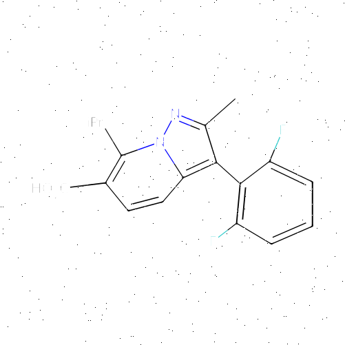 Cc1nn2c(C(C)C)c(C(=O)O)ccc2c1-c1c(F)cccc1F